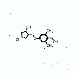 Cc1cc(OC[C@@H]2C[C@H](Cl)C[C@H]2O)cc(C)c1CO